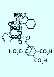 O=C(O)C1C2C=CC(C1C(=O)O)C(C(=O)OC(=O)C1C3C=CC(C(C(=O)O)C3C(=O)O)C1C(=O)OC(=O)C1C3C=CC(C(C(=O)O)C3C(=O)O)C1C(=O)O)C2C(=O)O